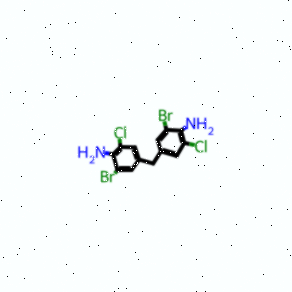 Nc1c(Cl)cc(Cc2cc(Cl)c(N)c(Br)c2)cc1Br